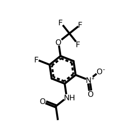 CC(=O)Nc1cc(F)c(OC(F)(F)F)cc1[N+](=O)[O-]